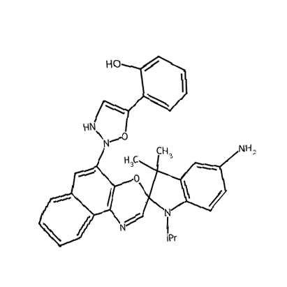 CC(C)N1c2ccc(N)cc2C(C)(C)C12C=Nc1c(c(N3NC=C(c4ccccc4O)O3)cc3ccccc13)O2